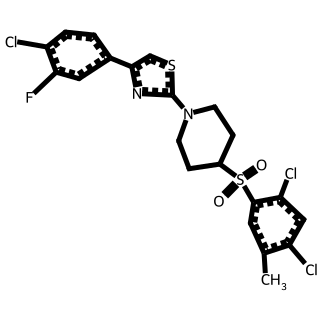 Cc1cc(S(=O)(=O)C2CCN(c3nc(-c4ccc(Cl)c(F)c4)cs3)CC2)c(Cl)cc1Cl